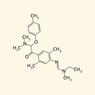 CCN(C)C=Nc1cc(C)c(C(=O)C(Oc2ccc(C)cc2)N(C)C)cc1C